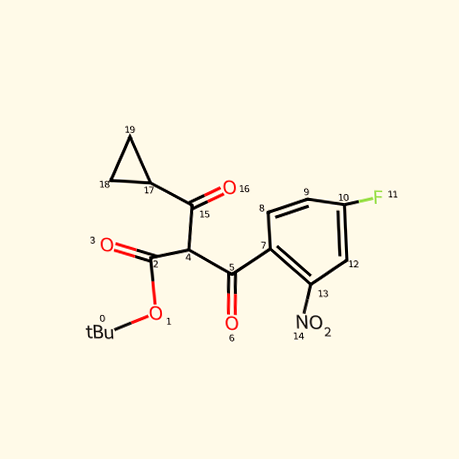 CC(C)(C)OC(=O)C(C(=O)c1ccc(F)cc1[N+](=O)[O-])C(=O)C1CC1